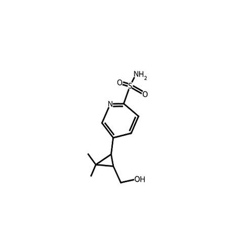 CC1(C)C(CO)C1c1ccc(S(N)(=O)=O)nc1